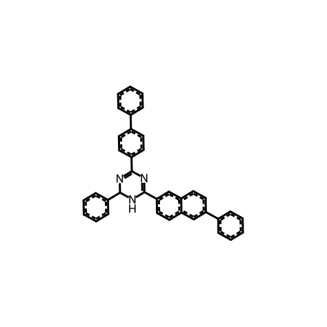 c1ccc(-c2ccc(C3=NC(c4ccccc4)NC(c4ccc5cc(-c6ccccc6)ccc5c4)=N3)cc2)cc1